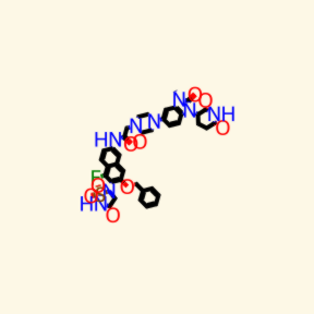 Cn1c(=O)n(C2CCC(=O)NC2=O)c2ccc(N3CCN(CC(=O)Nc4ccc5c(F)c(N6CC(=O)NS6(=O)=O)c(OCc6ccccc6)cc5c4)C(=O)C3)cc21